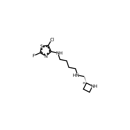 Fc1nc(NCCCCNC[C@H]2CCN2)c(Cl)s1